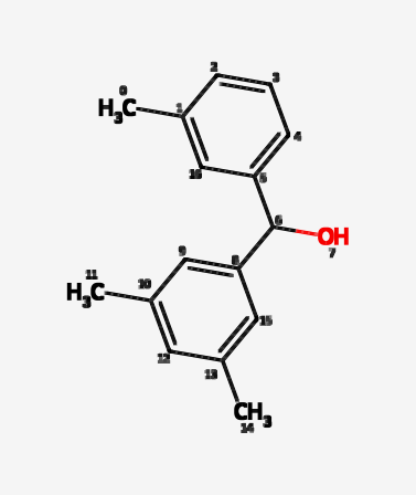 Cc1cccc(C(O)c2cc(C)cc(C)c2)c1